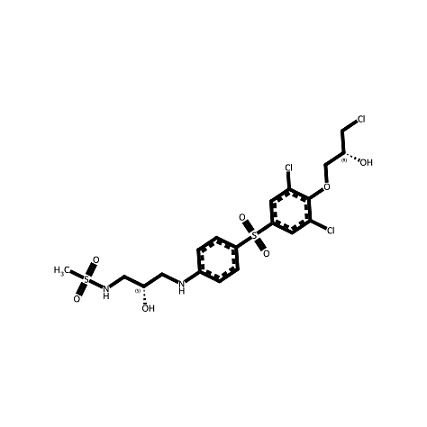 CS(=O)(=O)NC[C@@H](O)CNc1ccc(S(=O)(=O)c2cc(Cl)c(OC[C@@H](O)CCl)c(Cl)c2)cc1